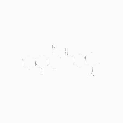 CNC(=O)c1ccc(N/C=C(\N)c2cc3ccccc3[nH]c2=O)cc1F